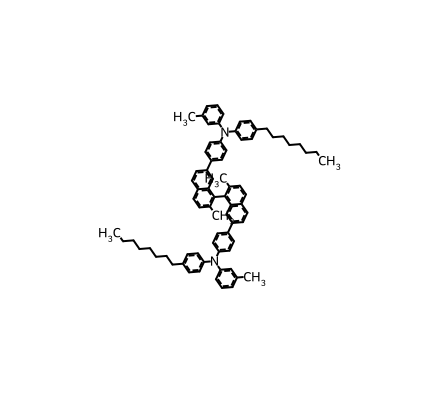 CCCCCCCCc1ccc(N(c2ccc(-c3ccc4ccc(C)c(-c5c(C)ccc6ccc(-c7ccc(N(c8ccc(CCCCCCCC)cc8)c8cccc(C)c8)cc7)cc56)c4c3)cc2)c2cccc(C)c2)cc1